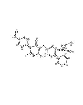 CCCCc1nc(C)n(-c2ncc(OCC)cn2)c(=O)c1Cc1ccc(-c2ccccc2S(=O)(=O)NC(C)(C)C)cc1